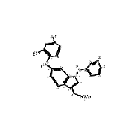 CCc1cc(Br)ccc1Nc1ccc2c(CNC)cn(Sc3cccnc3)c2c1